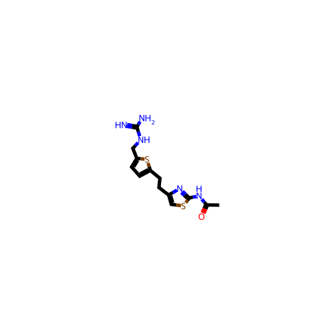 CC(=O)Nc1nc(CCc2ccc(CNC(=N)N)s2)cs1